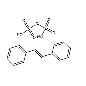 C(=C\c1ccccc1)/c1ccccc1.O=S(=O)(O)OS(=O)(=O)O